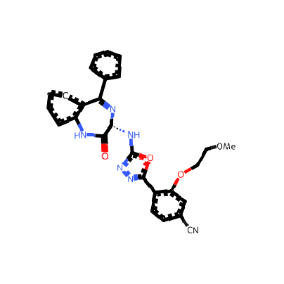 COCCOc1cc(C#N)ccc1-c1nnc(N[C@H]2N=C(c3ccccc3)c3ccccc3NC2=O)o1